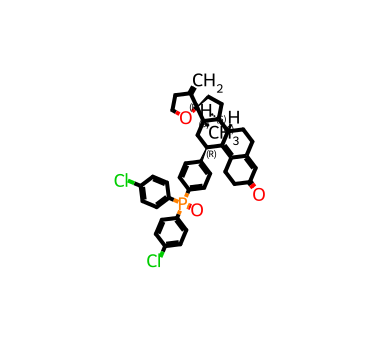 C=C1CCO[C@]12CC[C@H]1[C@@H]3CCC4=CC(=O)CCC4=C3[C@@H](c3ccc(P(=O)(c4ccc(Cl)cc4)c4ccc(Cl)cc4)cc3)C[C@@]12C